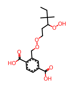 CCC(C)(C)C(CCOOCc1cc(C(=O)O)ccc1C(=O)O)OO